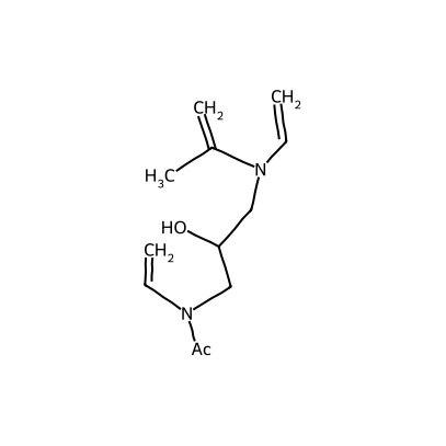 C=CN(CC(O)CN(C=C)C(C)=O)C(=C)C